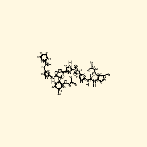 Cc1ccc(NC(=O)Nc2ncc(CS(=O)(=O)c3nc(C(=O)ON(C(=O)Nc4ncc(CNc5ccccn5)s4)c4ccc(C)cc4OCC(C)C)c[nH]3)s2)c(OCC(C)C)c1